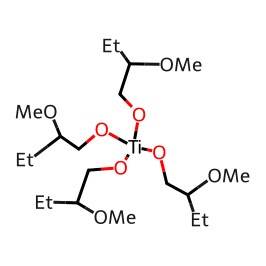 CCC(C[O][Ti]([O]CC(CC)OC)([O]CC(CC)OC)[O]CC(CC)OC)OC